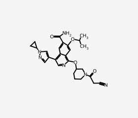 CC(C)Oc1cc2c(OC3CCCN(C(=O)CC#N)C3)ncc(-c3cnn(C4CC4)c3)c2cc1C(N)=O